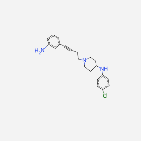 Nc1cccc(C#CCCN2CCC(Nc3ccc(Cl)cc3)CC2)c1